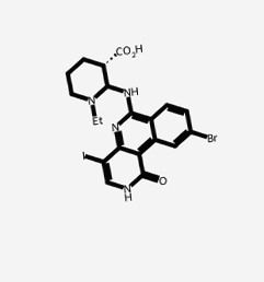 CCN1CCC[C@H](C(=O)O)C1Nc1nc2c(I)c[nH]c(=O)c2c2cc(Br)ccc12